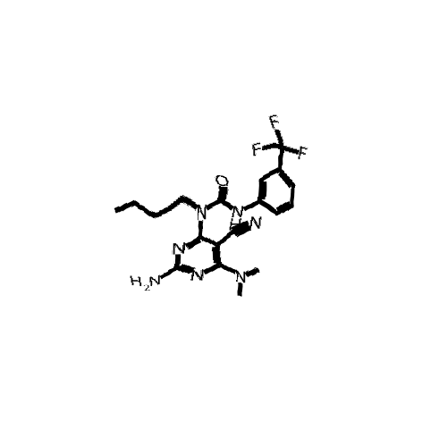 CCCCN(C(=O)Nc1cccc(C(F)(F)F)c1)c1nc(N)nc(N(C)C)c1C#N